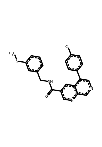 CSc1cccc(CNC(=O)c2cnc3cncc(-c4ccc(Cl)cc4)c3c2)c1